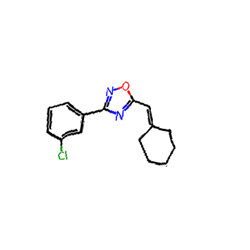 Clc1cccc(-c2noc(C=C3CC[CH]CC3)n2)c1